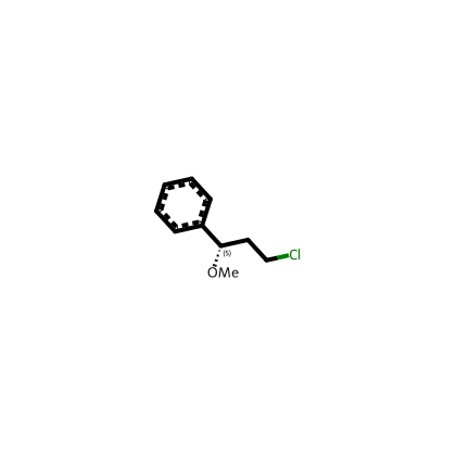 CO[C@@H](CCCl)c1ccccc1